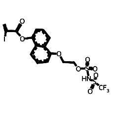 C=C(I)C(=O)Oc1cccc2c(OCCOS(=O)(=O)NS(=O)(=O)C(F)(F)F)cccc12